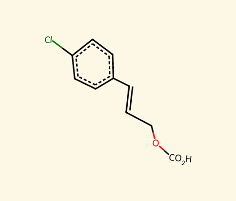 O=C(O)OCC=Cc1ccc(Cl)cc1